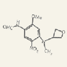 COc1cc(N(C)C2COC2)c([N+](=O)[O-])cc1NC=O